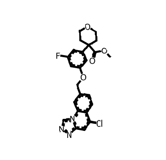 COC(=O)C1(c2cc(F)cc(OCc3ccc4c(Cl)cc5nncn5c4c3)c2)CCOCC1